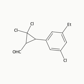 CCc1cc(Cl)cc(C2C(C=O)C2(Cl)Cl)c1